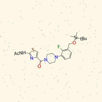 CC(=O)Nc1nc(C(=O)N2CCN(c3cccc(CO[Si](C)(C)C(C)(C)C)c3F)CC2)cs1